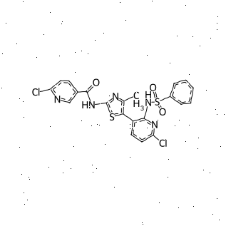 Cc1nc(NC(=O)c2ccc(Cl)nc2)sc1-c1ccc(Cl)nc1NS(=O)(=O)c1ccccc1